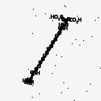 O=C(O)COc1cc(OCC(=O)O)cc(C(=O)NCCNC(=O)CCOCCOCCOCCOCCOCCOCCOCCOCCOCCOCCOCCOCCNC(=O)CCCC[C@@H]2SC[C@@H]3NC(=O)N[C@@H]32)c1